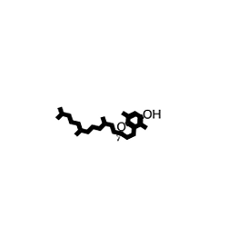 Cc1cc(O)c(C)c2c1O[C@](C)(CCC(C)CCCC(C)CCCC(C)C)CC2